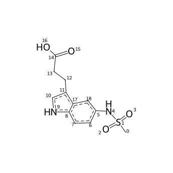 CS(=O)(=O)Nc1ccc2[nH]cc(CCC(=O)O)c2c1